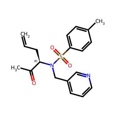 C=CC[C@H](C(C)=O)N(Cc1cccnc1)S(=O)(=O)c1ccc(C)cc1